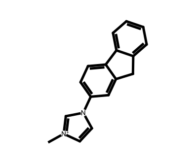 C[n+]1ccn(-c2ccc3c(c2)Cc2ccccc2-3)c1